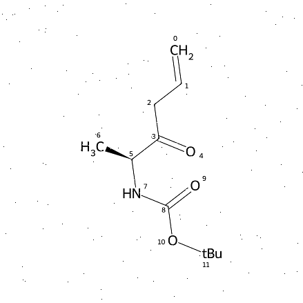 C=CCC(=O)[C@H](C)NC(=O)OC(C)(C)C